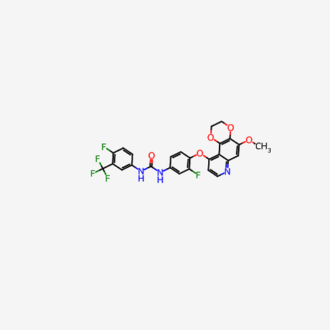 COc1cc2nccc(Oc3ccc(NC(=O)Nc4ccc(F)c(C(F)(F)F)c4)cc3F)c2c2c1OCCO2